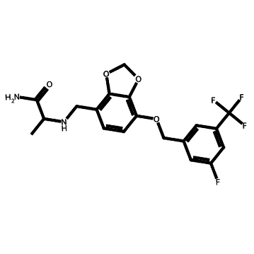 CC(NCc1ccc(OCc2cc(F)cc(C(F)(F)F)c2)c2c1OCO2)C(N)=O